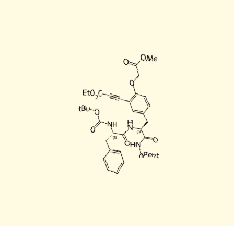 CCCCCNC(=O)[C@H](Cc1ccc(OCC(=O)OC)c(C#CC(=O)OCC)c1)NC(=O)[C@H](Cc1ccccc1)NC(=O)OC(C)(C)C